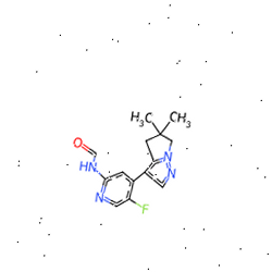 CC1(C)Cc2c(-c3cc(NC=O)ncc3F)cnn2C1